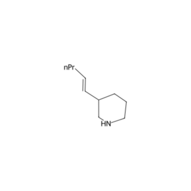 [CH2]CCC=CC1CCCNC1